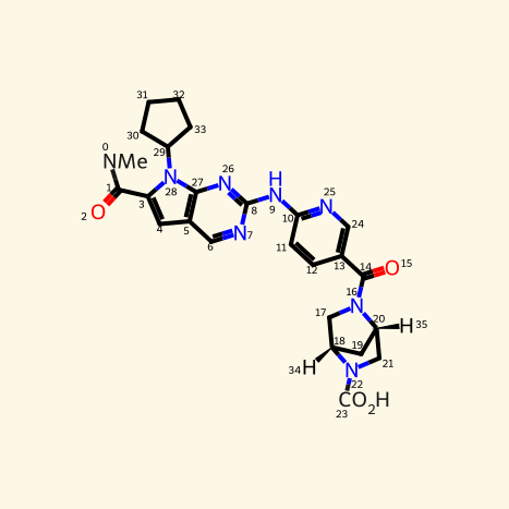 CNC(=O)c1cc2cnc(Nc3ccc(C(=O)N4C[C@@H]5C[C@H]4CN5C(=O)O)cn3)nc2n1C1CCCC1